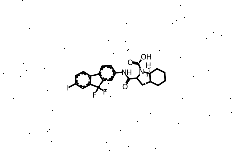 O=C(Nc1ccc2c(c1)C(F)(F)c1cc(I)ccc1-2)C1CC2CCCC[C@@H]2N1C(=O)O